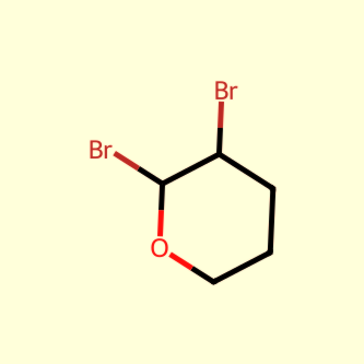 BrC1CCCOC1Br